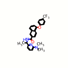 CC(NC(=O)c1ccc2c(Oc3ccc(C(F)(F)F)cc3)cccc2c1)c1cccc(N(C)C)n1